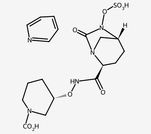 O=C(NO[C@H]1CCCN(C(=O)O)C1)[C@@H]1CC[C@@H]2CN1C(=O)N2OS(=O)(=O)O.c1ccncc1